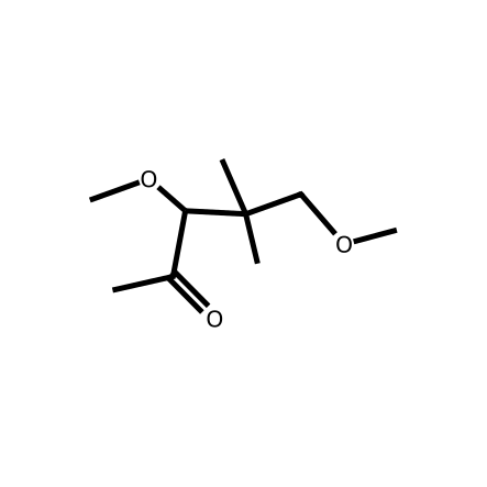 COCC(C)(C)C(OC)C(C)=O